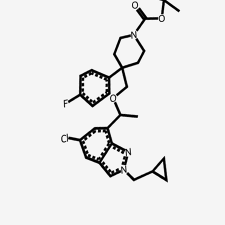 CC(OCC1(c2ccc(F)cc2)CCN(C(=O)OC(C)(C)C)CC1)c1cc(Cl)cc2cn(CC3CC3)nc12